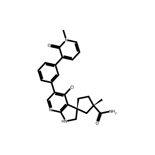 Cn1cccc(-c2cccc(-c3cnc4c(c3Cl)[C@@]3(CC[C@](C)(C(N)=O)C3)CN4)c2)c1=O